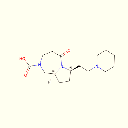 O=C(O)N1CCC(=O)N2[C@@H](CCN3CCCCC3)CC[C@H]2C1